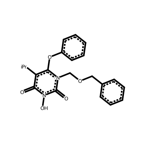 CC(C)c1c(Oc2ccccc2)n(COCc2ccccc2)c(=O)n(O)c1=O